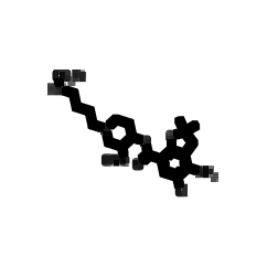 CCOC(=O)NCCCCN1CCC(OC(=O)c2cc(Cl)c(N)c3c2OC(C)(C)C3)C(OC)C1